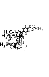 C=C(/C=C(\C)SNc1ccc(CCCC)cc1)C(=C)N(C)CCN(C)/C(C)=C/C(OC)=C(C)C